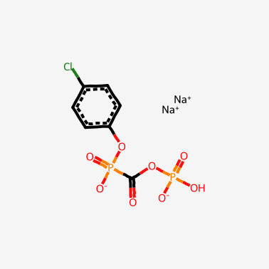 O=C(OP(=O)([O-])O)P(=O)([O-])Oc1ccc(Cl)cc1.[Na+].[Na+]